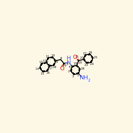 Nc1ccc(NC(=O)Cc2ccc3ccccc3c2)c(C(=O)c2ccccc2)c1